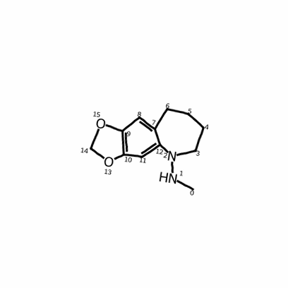 CNN1CCCCc2cc3c(cc21)OCO3